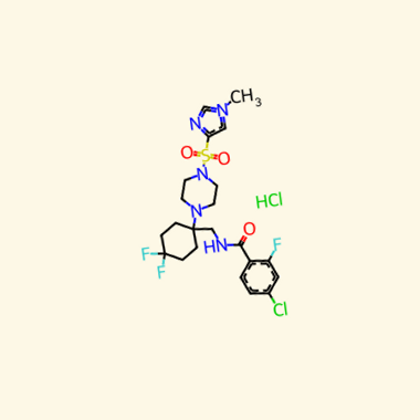 Cl.Cn1cnc(S(=O)(=O)N2CCN(C3(CNC(=O)c4ccc(Cl)cc4F)CCC(F)(F)CC3)CC2)c1